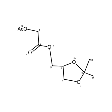 CC(=O)OCC(=O)OCC1COC(C)(C)O1